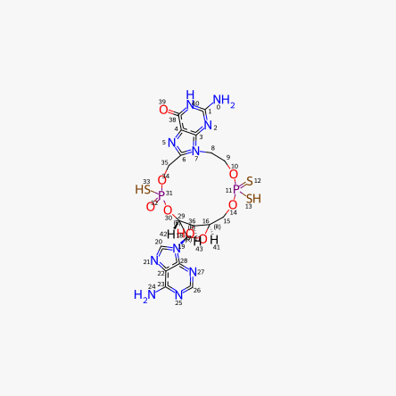 Nc1nc2c(nc3n2CCOP(=S)(S)OC[C@H]2O[C@@H](n4cnc5c(N)ncnc54)[C@H](OP(=O)(S)OC3)[C@@H]2O)c(=O)[nH]1